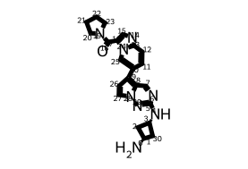 N[C@H]1C[C@@H](Nc2ncc3c(-c4ccc5ncc(C(=O)N6CCCC6)n5c4)ccn3n2)C1